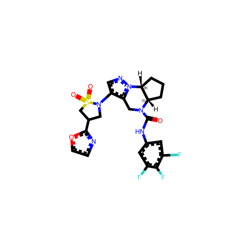 O=C(Nc1cc(F)c(F)c(F)c1)N1Cc2c(N3CC(c4ncco4)CS3(=O)=O)cnn2[C@@H]2CCC[C@@H]21